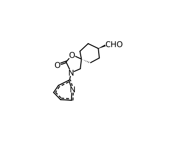 O=C[C@H]1CC[C@]2(CC1)CN(c1ccccn1)C(=O)O2